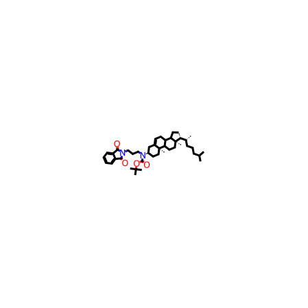 CC(C)CCC[C@@H](C)[C@H]1CCC2C3CC=C4C[C@@H](N(CCCN5C(=O)c6ccccc6C5=O)C(=O)OC(C)(C)C)CC[C@]4(C)C3CC[C@@]21C